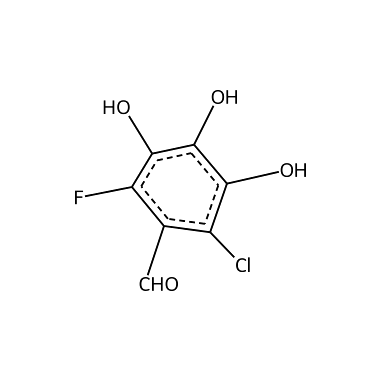 O=Cc1c(F)c(O)c(O)c(O)c1Cl